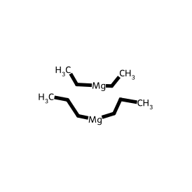 CC[CH2][Mg][CH2]CC.C[CH2][Mg][CH2]C